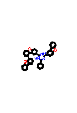 NC(NC(/N=C/c1ccc2oc3ccccc3c2c1)c1ccccc1)c1ccc2oc3cccc(-c4cccc5c4oc4ccccc45)c3c2c1